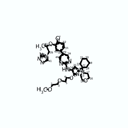 COCCOCCOc1nn(C2(N3CCOCC3)CCCCC2)cc1Nc1ncc(-c2ccc(Cl)c(OC(C)Cn3cnnn3)c2)cn1